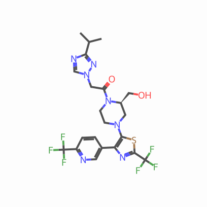 CC(C)c1ncn(CC(=O)N2CCN(c3sc(C(F)(F)F)nc3-c3ccc(C(F)(F)F)nc3)C[C@@H]2CO)n1